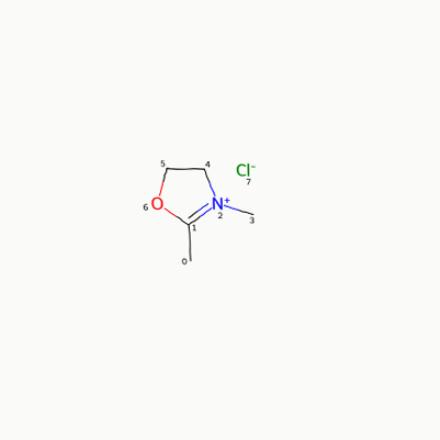 CC1=[N+](C)CCO1.[Cl-]